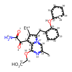 CCc1c(C(=O)C(N)=O)c2c(OCC(=O)O)nc(C)cn2c1Cc1ccccc1Oc1ccccc1